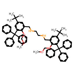 COCOc1c(CPCCPCc2cc(C(C)(C)C)cc(C(c3ccccc3)(c3ccccc3)c3ccccc3)c2OCOC)cc(C(C)(C)C)cc1C(c1ccccc1)(c1ccccc1)c1ccccc1